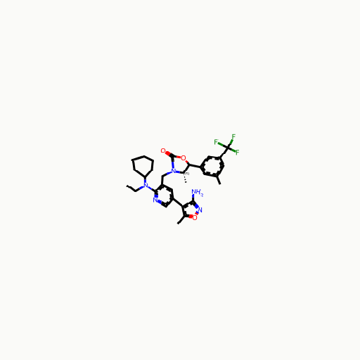 CCN(c1ncc(-c2c(N)noc2C)cc1CN1C(=O)OC(c2cc(C)cc(C(F)(F)F)c2)[C@@H]1C)C1CCCCC1